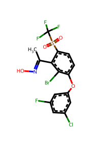 CC(=NO)c1c(S(=O)(=O)C(F)(F)F)ccc(Oc2cc(F)cc(Cl)c2)c1Br